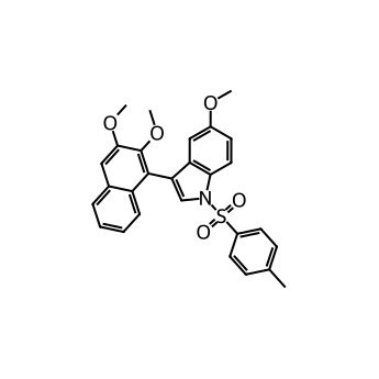 COc1ccc2c(c1)c(-c1c(OC)c(OC)cc3ccccc13)cn2S(=O)(=O)c1ccc(C)cc1